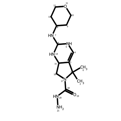 CC1(C)C2=CNC(NC3CCOCC3)NC2CN1C(=O)NN